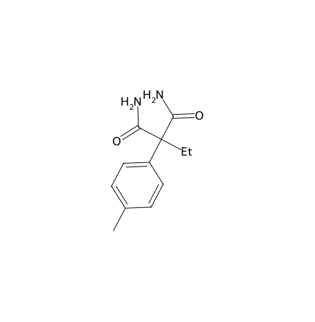 CCC(C(N)=O)(C(N)=O)c1ccc(C)cc1